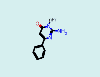 CCCn1c(N)nc(-c2ccccc2)cc1=O